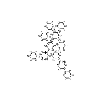 c1ccc(-c2cnc(-c3cc(-c4cccc(-c5cc(-c6ccccc6)c(-c6ccccc6)c(-c6ccccc6)c5-c5ccccc5)c4)cc(-c4ncc(-c5ccccc5)cn4)c3)nc2)cc1